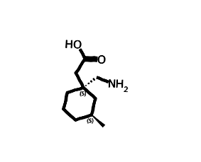 C[C@H]1CCC[C@@](CN)(CC(=O)O)C1